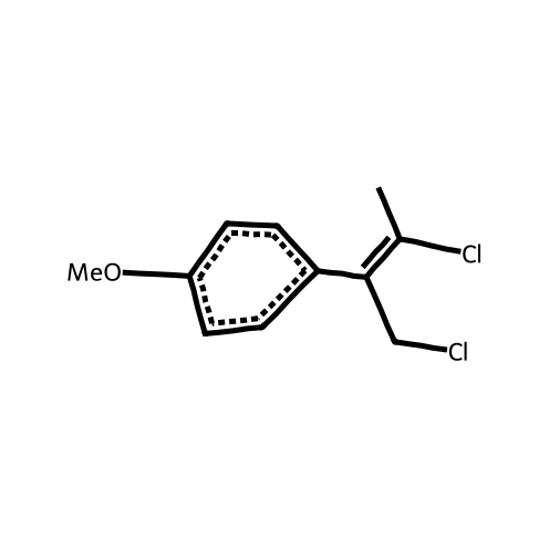 COc1ccc(/C(CCl)=C(\C)Cl)cc1